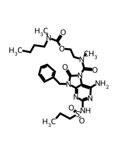 CCCCN(C)C(=O)OCCN(C)C(=O)n1c(=O)n(Cc2ccccc2)c2nc(NS(=O)(=O)CCC)nc(N)c21